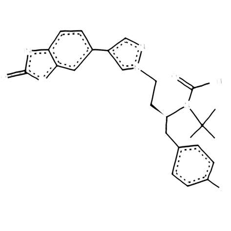 CC(C)(C)N(C(=O)O)[C@H](CCn1cc(-c2ccc3[nH]c(=O)oc3c2)cn1)Cc1ccc(Cl)cc1